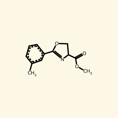 COC(=O)C1COC(c2cccc(C)c2)=N1